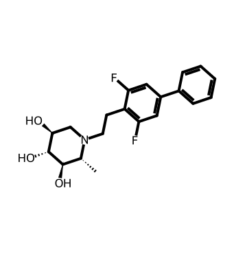 C[C@@H]1[C@@H](O)[C@H](O)[C@@H](O)CN1CCc1c(F)cc(-c2ccccc2)cc1F